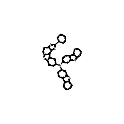 c1ccc(-c2nc3c(ccc4oc5ccc(N(c6ccc7c(c6)sc6ccccc67)c6ccc7c(c6)sc6ccccc67)cc5c43)s2)cc1